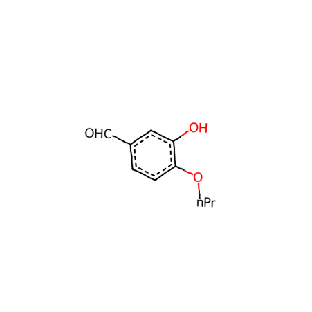 CCCOc1ccc(C=O)cc1O